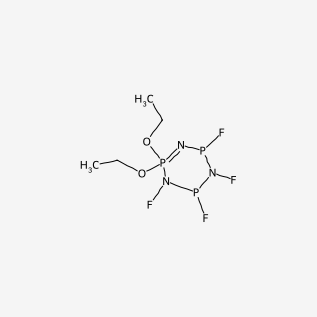 CCOP1(OCC)=NP(F)N(F)P(F)N1F